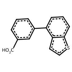 O=C(O)c1cccc(-c2cccc3sccc23)c1